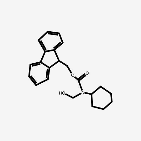 O=C(OCC1c2ccccc2-c2ccccc21)N(CO)C1CCCCC1